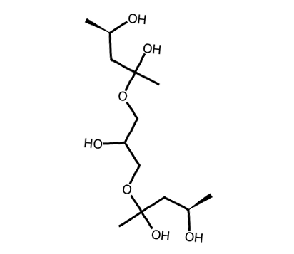 C[C@@H](O)CC(C)(O)OCC(O)COC(C)(O)C[C@@H](C)O